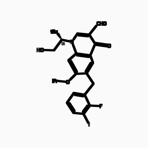 CC(C)Oc1cc2c(cc1Cc1cccc(I)c1F)c(=O)c(C=O)cn2[C@H](CO)C(C)(C)C